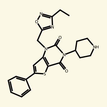 CCc1noc(Cn2c(=O)n(C3CCNCC3)c(=O)c3sc(-c4ccccc4)cc32)n1